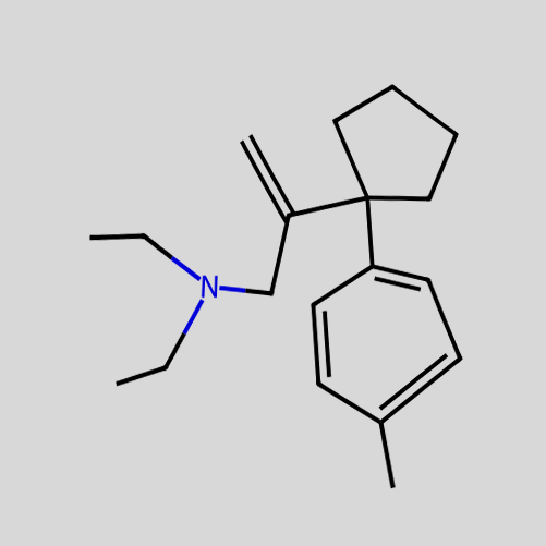 C=C(CN(CC)CC)C1(c2ccc(C)cc2)CCCC1